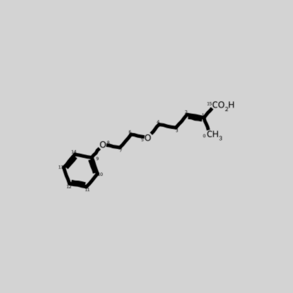 C/C(=C\CCOCCOc1ccccc1)C(=O)O